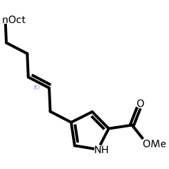 CCCCCCCCCC/C=C/Cc1c[nH]c(C(=O)OC)c1